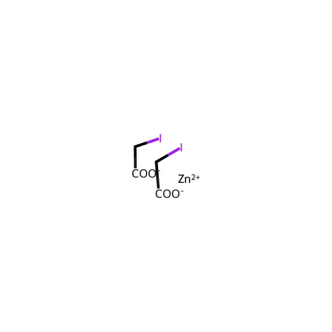 O=C([O-])CI.O=C([O-])CI.[Zn+2]